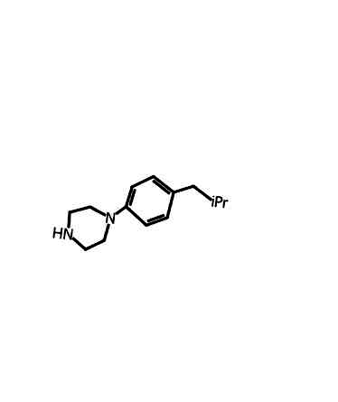 CC(C)Cc1ccc(N2CCNCC2)cc1